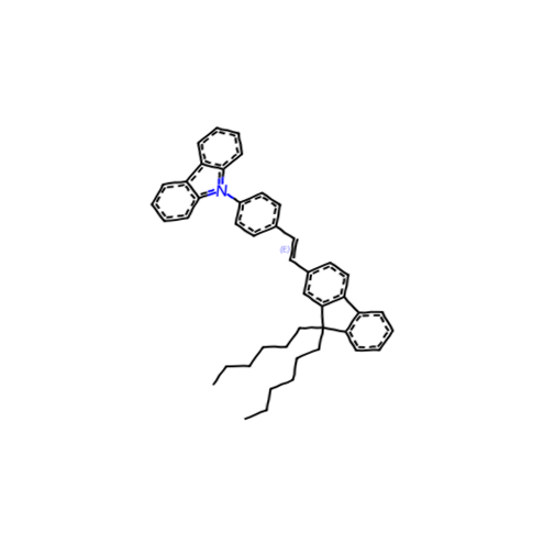 CCCCCCC1(CCCCCC)c2ccccc2-c2ccc(/C=C/c3ccc(-n4c5ccccc5c5ccccc54)cc3)cc21